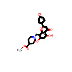 COC(=O)C1CCN(Cc2c(O)cc(O)c3c(=O)cc(-c4ccc(O)cc4)oc23)CC1